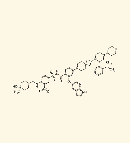 CC(C)c1ccccc1C1CN(C2CCOCC2)CCN1C1CC2(CCN(c3ccc(C(=O)NS(=O)(=O)c4ccc(NCC5CCC(C)(O)CC5)c([N+](=O)[O-])c4)c(Oc4cnc5[nH]ccc5c4)c3)CC2)C1